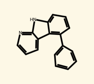 c1ccc(-c2cccc3[nH]c4ncccc4c23)cc1